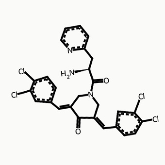 N[C@@H](Cc1ccccn1)C(=O)N1C/C(=C\c2ccc(Cl)c(Cl)c2)C(=O)/C(=C/c2ccc(Cl)c(Cl)c2)C1